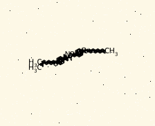 CCCCCCCCCCOc1ccc(COc2ncc(-c3ccc(OCCCCCC(C)CC)cc3)cn2)cc1